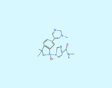 CN1C=C(c2ccc3c(c2)[N+]([O-])(N2C=CC(C(=O)N(C)C)=NC2)CC3(C)C)C=NC1